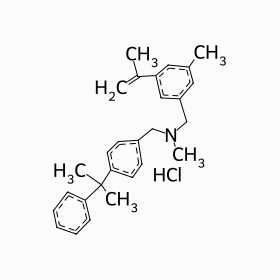 C=C(C)c1cc(C)cc(CN(C)Cc2ccc(C(C)(C)c3ccccc3)cc2)c1.Cl